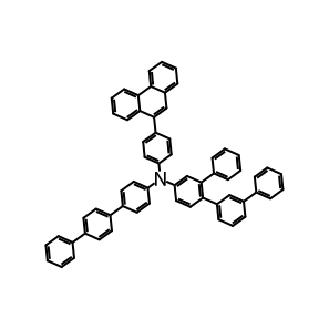 c1ccc(-c2ccc(-c3ccc(N(c4ccc(-c5cc6ccccc6c6ccccc56)cc4)c4ccc(-c5cccc(-c6ccccc6)c5)c(-c5ccccc5)c4)cc3)cc2)cc1